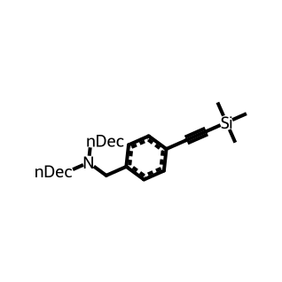 CCCCCCCCCCN(CCCCCCCCCC)Cc1ccc(C#C[Si](C)(C)C)cc1